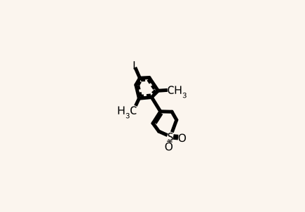 Cc1cc(I)cc(C)c1C1=CCS(=O)(=O)CC1